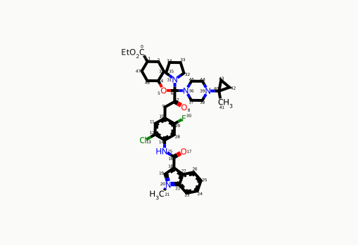 CCOC(=O)C1CCC(OC(C(=O)Cc2cc(Cl)c(NC(=O)c3cn(C)c4ccccc34)cc2F)(N2CCCC2)N2CCN(C3(C)CC3)CC2)CC1